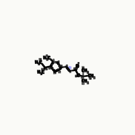 Cc1cc(/C=C/C(=O)OC(C)(C)C)ccc1C(C)C